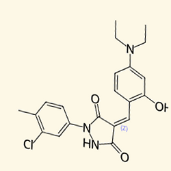 CCN(CC)c1ccc(/C=C2/C(=O)NN(c3ccc(C)c(Cl)c3)C2=O)c(O)c1